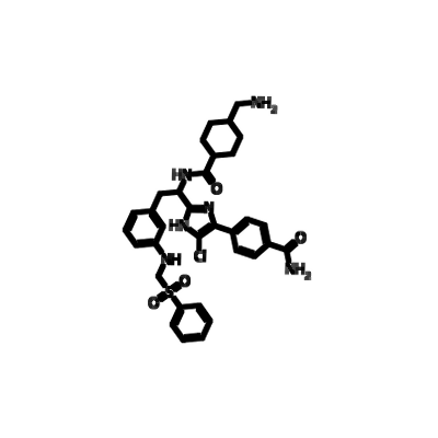 NCC1CCC(C(=O)NC(Cc2cccc(NCS(=O)(=O)c3ccccc3)c2)c2nc(-c3ccc(C(N)=O)cc3)c(Cl)[nH]2)CC1